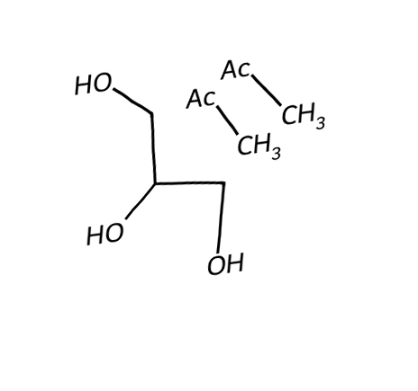 CC(C)=O.CC(C)=O.OCC(O)CO